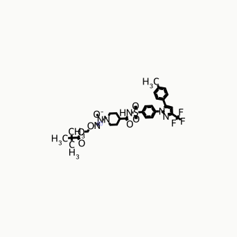 Cc1ccc(-c2cc(C(F)(F)F)nn2-c2ccc(S(=O)(=O)NC(=O)C3CCN(/[N+]([O-])=N/OCOC(=O)C(C)(C)C)CC3)cc2)cc1